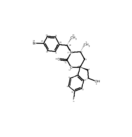 C[C@@H]1C[C@](CCO)(c2ccc(F)cc2)OC(=O)N1[C@@H](C)c1ccc(Br)cc1